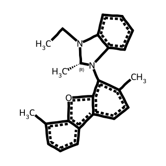 CCN1c2ccccc2N(c2c(C)ccc3c2oc2c(C)cccc23)[C@@H]1C